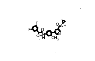 Cc1cc(NC(=O)C(O)c2cc(F)cc(F)c2)ccc1-c1cncc(C(=O)NC2CC2)c1